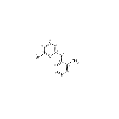 Cc1ccccc1Sc1cncc(Br)c1